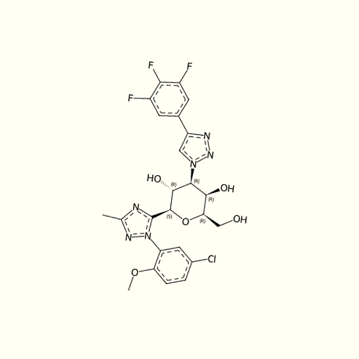 COc1ccc(Cl)cc1-n1nc(C)nc1[C@@H]1O[C@H](CO)[C@H](O)[C@H](n2cc(-c3cc(F)c(F)c(F)c3)nn2)[C@H]1O